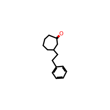 O=C1CCCCC(CCc2ccccc2)C1